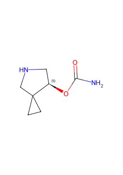 NC(=O)O[C@@H]1CNCC12CC2